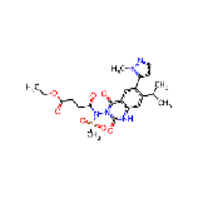 CCOC(=O)CCC(=O)N(n1c(=O)[nH]c2cc(C(C)C)c(-c3ccnn3C)cc2c1=O)S(C)(=O)=O